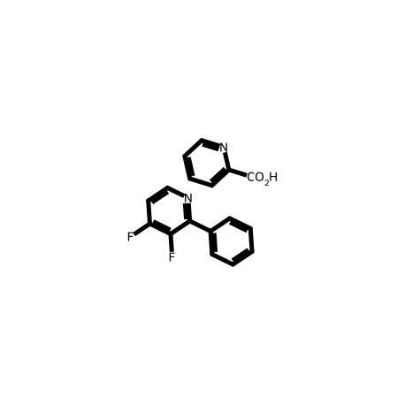 Fc1ccnc(-c2ccccc2)c1F.O=C(O)c1ccccn1